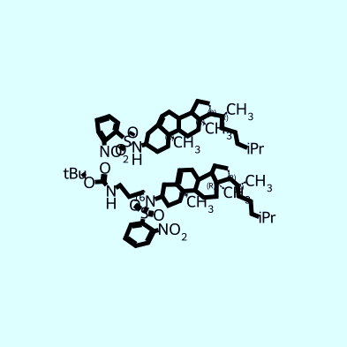 CC(C)CCC[C@@H](C)[C@H]1CCC2C3CC=C4CC(NS(=O)(=O)c5ccccc5[N+](=O)[O-])CC[C@]4(C)C3CC[C@@]21C.CC(C)CCC[C@@H](C)[C@H]1CCC2C3CC=C4CC([16N](CCCNC(=O)OC(C)(C)C)S(=O)(=O)c5ccccc5[N+](=O)[O-])CC[C@]4(C)C3CC[C@@]21C